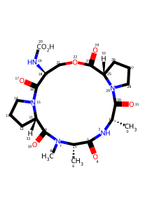 C[C@@H]1NC(=O)[C@H](C)N(C)C(=O)[C@@H]2CCCN2C(=O)[C@@H](NC(=O)O)COC(=O)[C@@H]2CCCN2C1=O